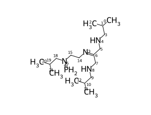 CC(C)CNCC(CNCC(C)C)=NCCN(P)CC(C)C